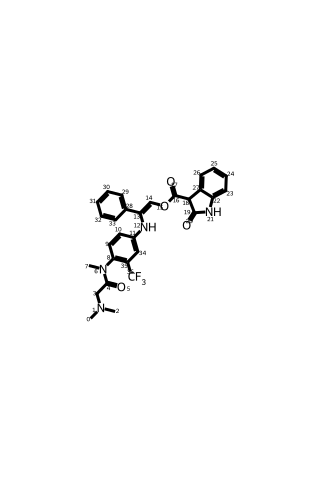 CN(C)CC(=O)N(C)c1ccc(N/C(=C\OC(=O)C2C(=O)Nc3ccccc32)c2ccccc2)cc1C(F)(F)F